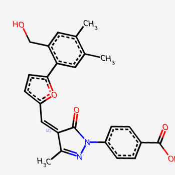 CC1=NN(c2ccc(C(=O)O)cc2)C(=O)/C1=C\c1ccc(-c2cc(C)c(C)cc2CO)o1